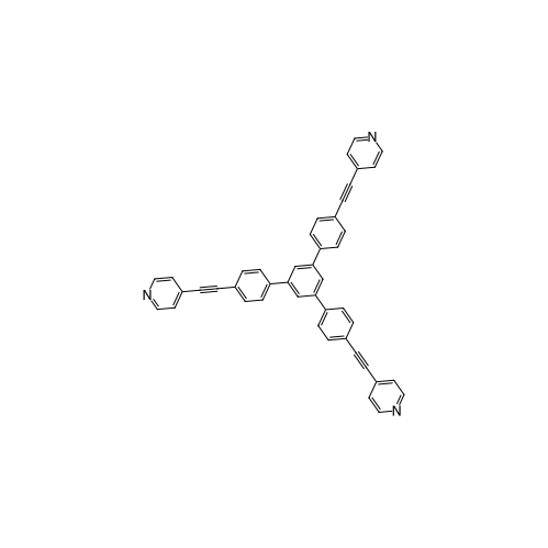 C(#Cc1ccc(-c2cc(-c3ccc(C#Cc4ccncc4)cc3)cc(-c3ccc(C#Cc4ccncc4)cc3)c2)cc1)c1ccncc1